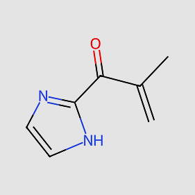 C=C(C)C(=O)c1ncc[nH]1